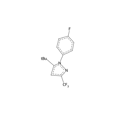 CC(C)(C)c1cc(C(F)(F)F)nn1-c1ccc(F)cc1